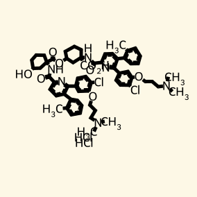 Cc1ccccc1-c1ccc(C(=O)NC2(C(=O)O)CCCC(OC(=O)C3(NC(=O)c4ccc(-c5ccccc5C)c(-c5ccc(Cl)c(OCCCN(C)C)c5)n4)CCCC(O)C3)C2)nc1-c1ccc(Cl)c(OCCCN(C)C)c1.Cl.Cl